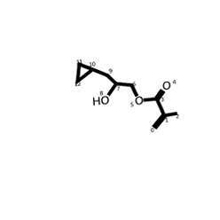 C=C(C)C(=O)OCC(O)CC1CC1